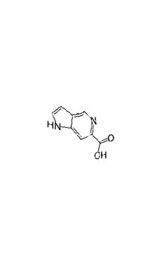 O=C(O)c1cc2[nH]ccc2cn1